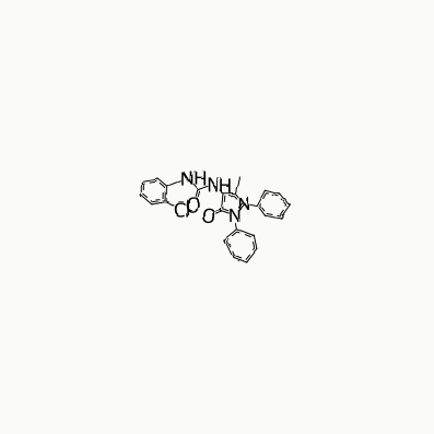 Cc1c(NC(=O)Nc2ccccc2Cl)c(=O)n(-c2ccccc2)n1-c1ccccc1